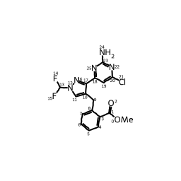 COC(=O)c1ccccc1Cc1cn(C(F)F)nc1-c1cc(Cl)nc(N)n1